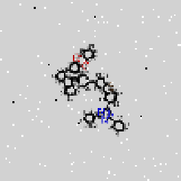 c1ccc(-c2nc(-c3ccccc3)nc(-c3ccc4sc5ccc(-c6ccc(C7(c8ccc9c(c8)Oc8ccccc8O9)c8ccccc8-c8ccccc87)cc6)cc5c4c3)n2)cc1